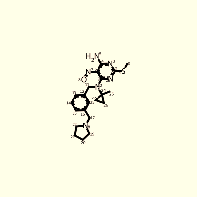 CSc1nc(N)c(N=O)c(N(Cc2cccc(CN3CCCC3)c2)C2(C)CC2)n1